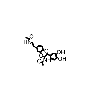 CC(=O)NCCc1ccc2c(c1)OC(NC(C)=O)C(c1ccc(O)c(O)c1)O2